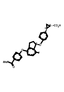 CNC(=O)c1ccc(Oc2ccc(F)c3c2CC[C@H]3Oc2ccc([C@H]3C[C@@H]3C(=O)O)cc2)cc1